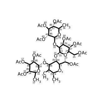 CC(=O)OCC1O[C@@H](C)C(C)[C@@H](O[C@@H]2OC(C)[C@@H](OC(C)=O)C(OC(C)=O)[C@H]2OC(C)=O)[C@@H]1O[C@@H]1OC(COC(C)=O)[C@H](OC(C)=O)[C@H](OC(C)=O)C1OC1OC(C)[C@@H](OC(C)=O)C(OC(C)=O)[C@H]1OC(C)=O